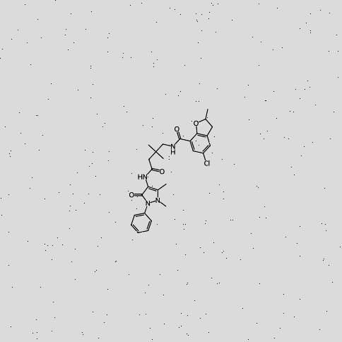 Cc1c(NC(=O)CC(C)(C)CNC(=O)c2cc(Cl)cc3c2OC(C)C3)c(=O)n(-c2ccccc2)n1C